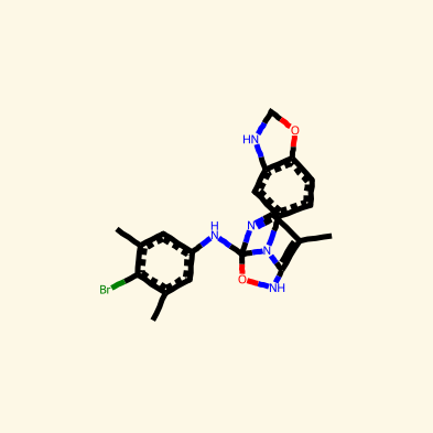 CC1=C2NOC(Nc3cc(C)c(Br)c(C)c3)(N=C1)N2c1ccc2c(c1)NCO2